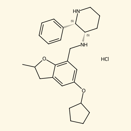 CC1Cc2cc(OC3CCCC3)cc(CN[C@H]3CCCN[C@H]3c3ccccc3)c2O1.Cl